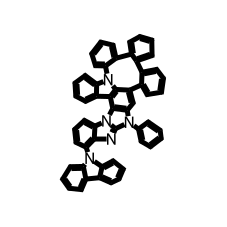 c1ccc(-n2c3cc4c5ccccc5c5ccccc5c5ccccc5n5c6ccccc6c(c45)c3n3c4cccc(-n5c6ccccc6c6ccccc65)c4nc23)cc1